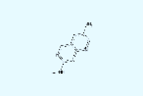 Bc1cnc2nc(NC)ncc2c1